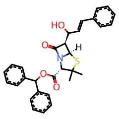 CC1(C)S[C@@H]2[C@H](C(O)/C=C/c3ccccc3)C(=O)N2[C@H]1C(=O)OC(c1ccccc1)c1ccccc1